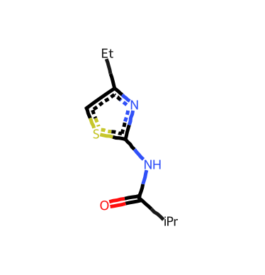 CCc1csc(NC(=O)C(C)C)n1